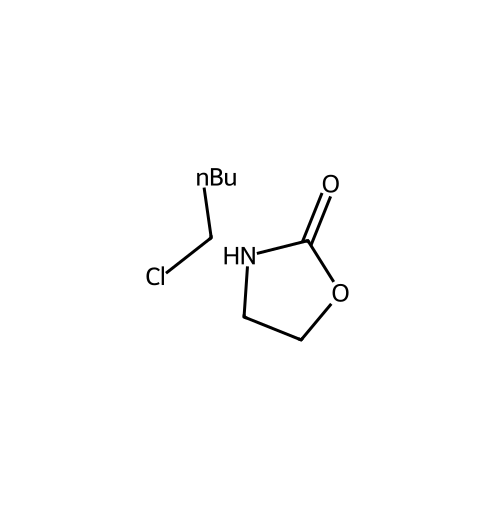 CCCCCCl.O=C1NCCO1